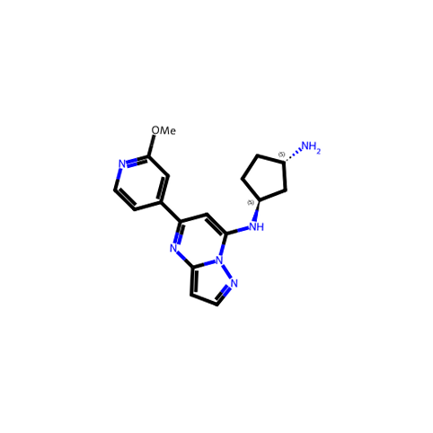 COc1cc(-c2cc(N[C@H]3CC[C@H](N)C3)n3nccc3n2)ccn1